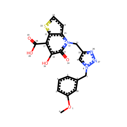 COc1cccc(Cn2cc(Cn3c(=O)c(O)c(C(=O)O)c4sccc43)nn2)c1